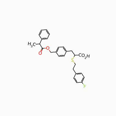 CC(C(=O)OCc1ccc(CC(SCCc2ccc(F)cc2)C(=O)O)cc1)c1ccccc1